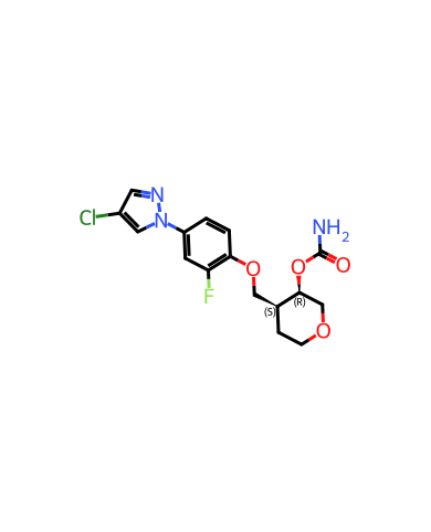 NC(=O)O[C@H]1COCC[C@H]1COc1ccc(-n2cc(Cl)cn2)cc1F